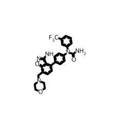 NC(=O)N(c1ccc(-c2ccc(CN3CCOCC3)c3onc(N)c23)cc1)c1cccc(C(F)(F)F)c1